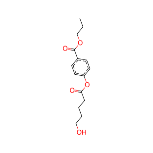 CCCOC(=O)c1ccc(OC(=O)CCCCO)cc1